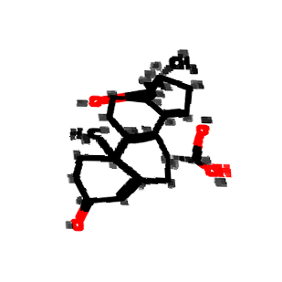 CC12CCC(=O)C=C1C[C@@H](C(=O)O)C1=C2CCC23C(=O)CC[C@]2(C)CC=C13